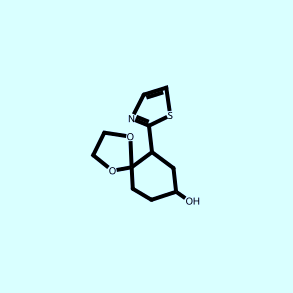 OC1CCC2(OCCO2)C(c2nccs2)C1